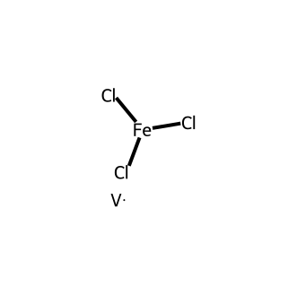 [Cl][Fe]([Cl])[Cl].[V]